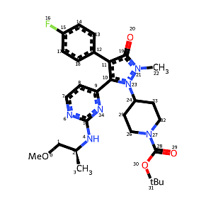 COC[C@H](C)Nc1nccc(-c2c(-c3ccc(F)cc3)c(=O)n(C)n2C2CCN(C(=O)OC(C)(C)C)CC2)n1